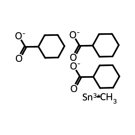 O=C([O-])C1CCCCC1.O=C([O-])C1CCCCC1.O=C([O-])C1CCCCC1.[CH3][Sn+3]